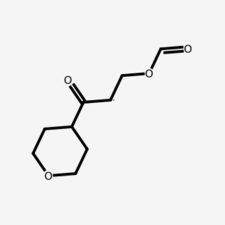 O=COC[CH]C(=O)C1CCOCC1